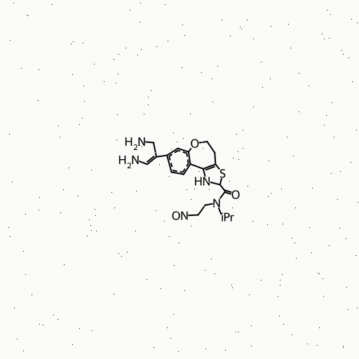 CC(C)N(CCN=O)C(=O)C1NC2=C(CCOc3cc(/C(=C/N)CN)ccc32)S1